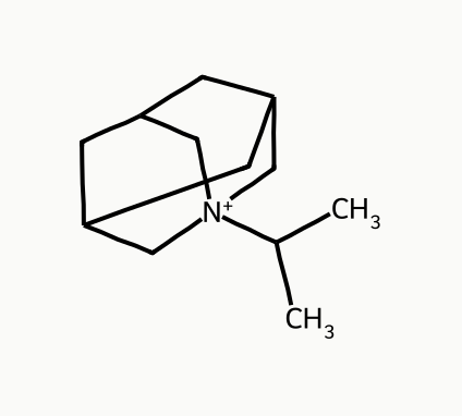 CC(C)[N+]12CC3CC(CC(C3)C1)C2